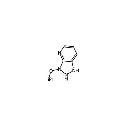 CC(C)ON1NNc2cccnc21